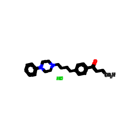 Cl.O=C(O)CCC(=O)c1ccc(CCCCN2CCN(c3ccccc3)CC2)cc1